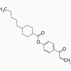 C=CC(=O)c1ccc(OC(=O)C2CCC(CCCCC)CC2)cc1